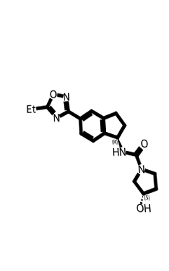 CCc1nc(-c2ccc3c(c2)CC[C@H]3NC(=O)N2CC[C@H](O)C2)no1